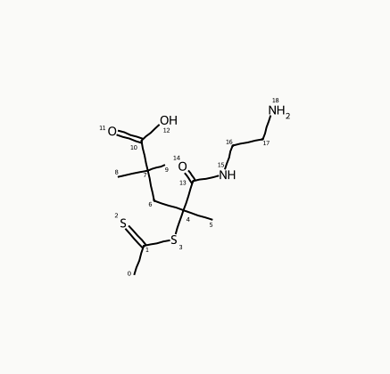 CC(=S)SC(C)(CC(C)(C)C(=O)O)C(=O)NCCN